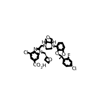 C[C@]1(c2ccc(Cl)cc2F)Oc2cccc(N3CCN(Cc4nc5c(Cl)cc(C(=O)O)cc5n4C[C@@H]4CCO4)[C@@H]4COC[C@@H]43)c2O1